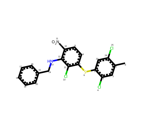 Cc1cc(Cl)c(Sc2ccc([N+](=O)[O-])c(NCc3ccccc3)c2Cl)cc1Cl